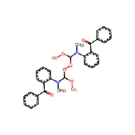 O=CN(c1ccccc1C(=O)c1ccccc1)C(OO)OOC(OO)N(C=O)c1ccccc1C(=O)c1ccccc1